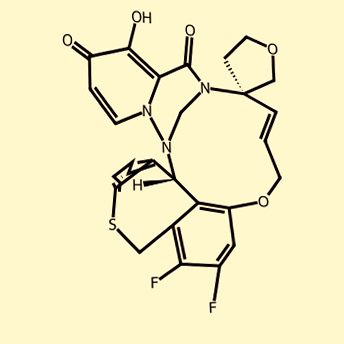 O=C1c2c(O)c(=O)ccn2N2CN1[C@@]1(/C=C/COc3cc(F)c(F)c4c3[C@@H]2c2ccccc2SC4)CCOC1